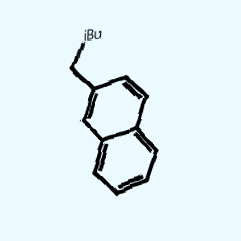 CCC(C)Cc1[c]c2ccccc2cc1